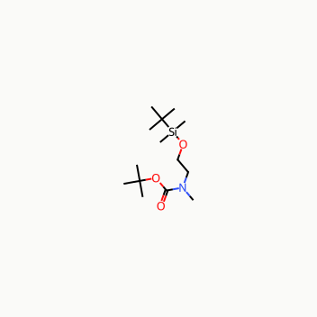 CN(CCO[Si](C)(C)C(C)(C)C)C(=O)OC(C)(C)C